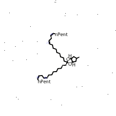 CCCCC/C=C\C/C=C\CCCCCCCCC1(CCCCCCCC/C=C\C/C=C\CCCCC)O[C@H]2CC(C)C[C@@H]2O1